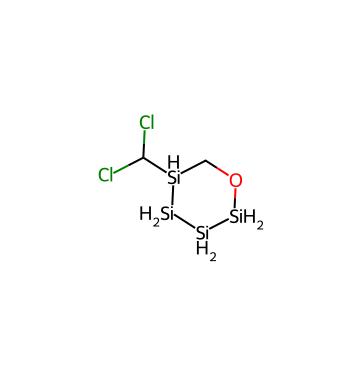 ClC(Cl)[SiH]1CO[SiH2][SiH2][SiH2]1